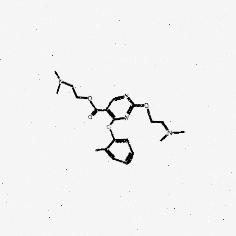 Cc1ccccc1Oc1nc(OCCN(C)C)ncc1C(=O)OCCN(C)C